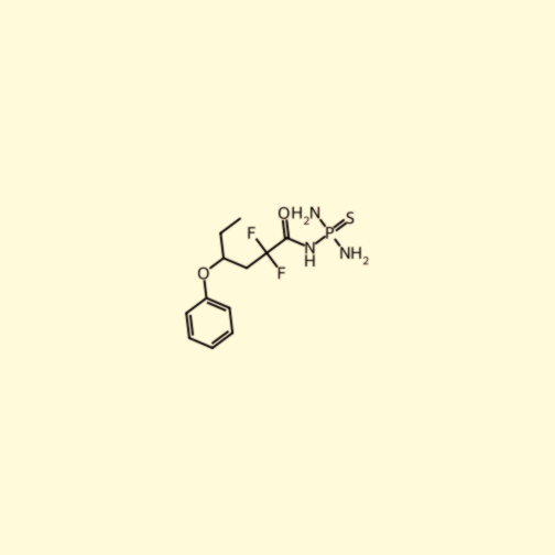 CCC(CC(F)(F)C(=O)NP(N)(N)=S)Oc1ccccc1